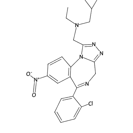 CCN(Cc1nnc2n1-c1ccc([N+](=O)[O-])cc1C(c1ccccc1Cl)=NC2)CC1CC1